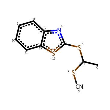 CC(SC#N)Sc1nc2ccccc2s1